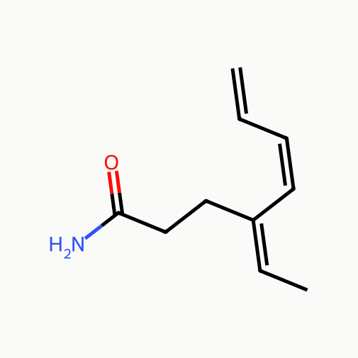 C=C/C=C\C(=C/C)CCC(N)=O